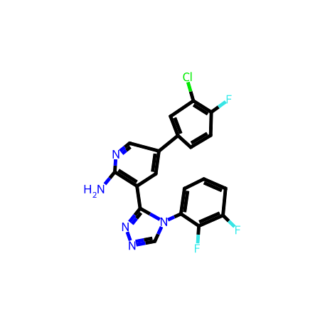 Nc1ncc(-c2ccc(F)c(Cl)c2)cc1-c1nncn1-c1cccc(F)c1F